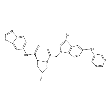 CC(=O)c1cn(CC(=O)N2C[C@H](F)C[C@H]2C(=O)Nc2ccc3ncsc3c2)c2ccc(Nc3cncnc3)cc12